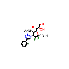 CC(=O)N[C@H]1[C@H]([C@H](O)[C@H](O)CO)OC(F)(C(=O)O)C(F)[C@@H]1n1cc(-c2ccccc2Cl)nn1